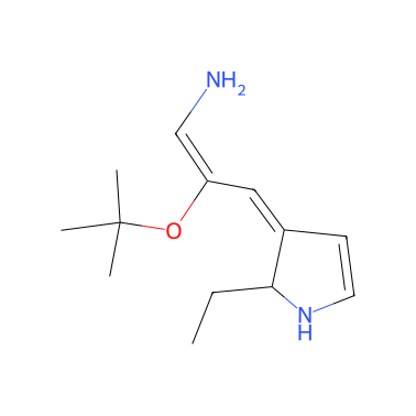 CCC1NC=C/C1=C/C(=C\N)OC(C)(C)C